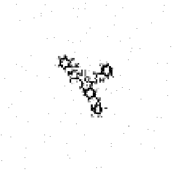 O=C(CCc1ccc(Cn2cccn2)cc1C(=O)NCc1ccccc1)NS(=O)(=O)c1ccccc1